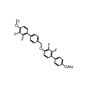 CCOc1ccc(-c2ccc(COc3ccc(-c4ccc(OC)cc4)c(F)c3F)cc2)c(F)c1F